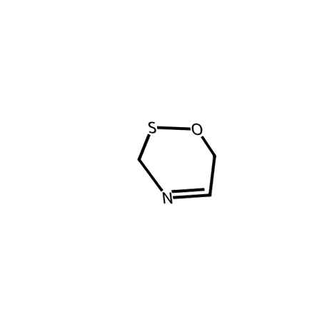 C1=NCSOC1